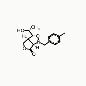 C[C@@H](O)[C@@H]1ON(Cc2ccc(I)cc2)[C@H]2C(=O)OC[C@@H]12